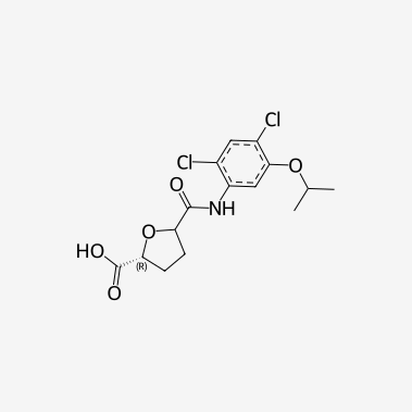 CC(C)Oc1cc(NC(=O)C2CC[C@H](C(=O)O)O2)c(Cl)cc1Cl